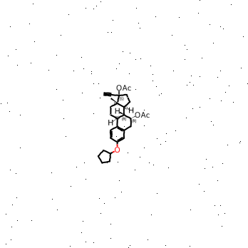 C#C[C@]1(OC(C)=O)CC[C@H]2[C@H]3[C@H](CC[C@@]21C)c1ccc(OC2CCCC2)cc1C[C@H]3OC(C)=O